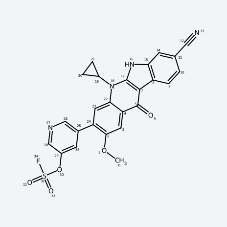 COc1cc2c(=O)c3c4ccc(C#N)cc4[nH]c3n(C3CC3)c2cc1-c1cncc(OS(=O)(=O)F)c1